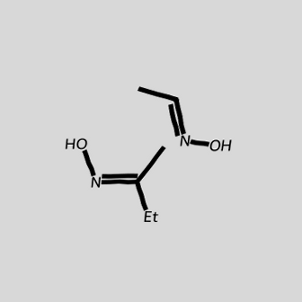 CC=NO.CCC(C)=NO